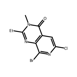 CCc1nc2c(Br)nc(Cl)cc2c(=O)n1C